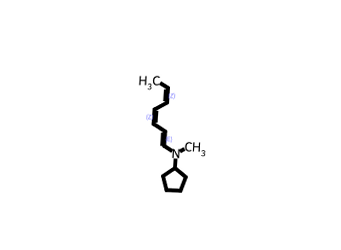 C\C=C/C=C\C=C\N(C)C1CCCC1